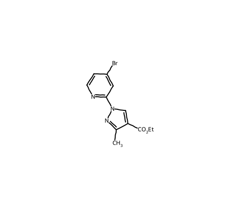 CCOC(=O)c1cn(-c2cc(Br)ccn2)nc1C